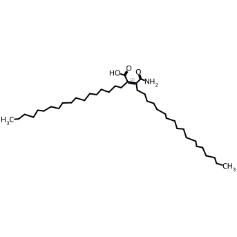 CCCCCCCCCCCCCCCCCC/C(C(N)=O)=C(\CCCCCCCCCCCCCCCCCC)C(=O)O